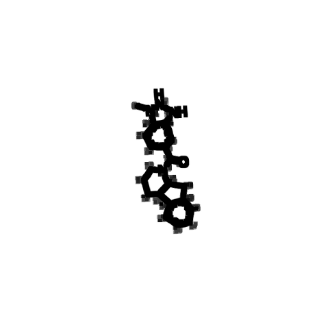 CN1NNc2cc(C(=O)N3CCCC4c5ccccc5CC43)ccc21